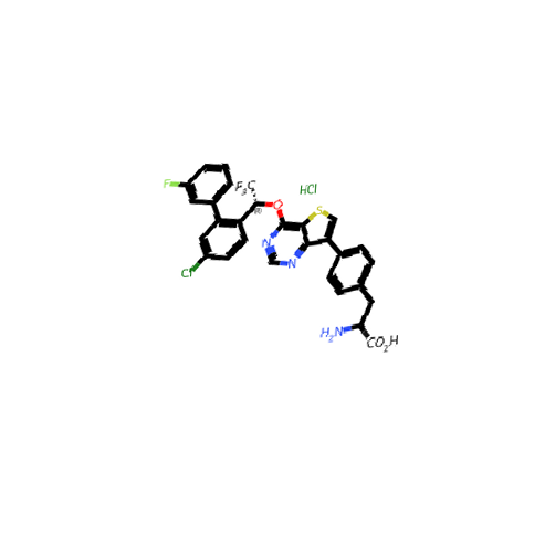 Cl.NC(Cc1ccc(-c2csc3c(O[C@H](c4ccc(Cl)cc4-c4cccc(F)c4)C(F)(F)F)ncnc23)cc1)C(=O)O